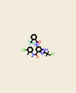 Cc1c(Cl)cccc1N(C)C(=O)c1cc(NC(=O)c2ccccc2C(F)(F)F)cc2[nH]c(C(C)(C)CCl)nc12